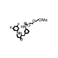 COCCOCCOC(=O)Nc1cccc(Cc2nn(-c3cc(F)cc(F)c3)ccc2=O)c1